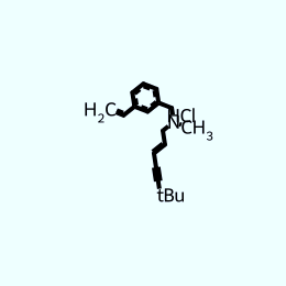 C=Cc1cccc(CN(C)CC=CC#CC(C)(C)C)c1.Cl